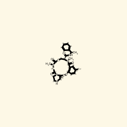 C[C@@H](NC(=O)[C@@H]1CCC(=O)N(C)CC(=O)N2CCNC[C@H]2COc2ccc(F)cc2C(=O)N1C)c1ccccc1